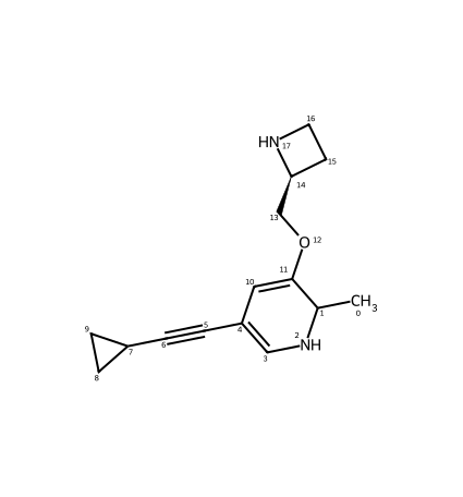 CC1NC=C(C#CC2CC2)C=C1OC[C@@H]1CCN1